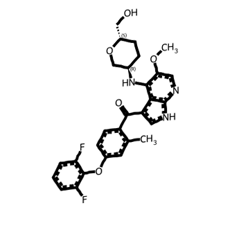 COc1cnc2[nH]cc(C(=O)c3ccc(Oc4c(F)cccc4F)cc3C)c2c1N[C@@H]1CC[C@@H](CO)OC1